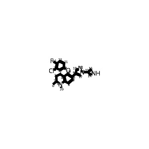 CC1CCc2c(ccc(-c3cnn(C4CNC4)c3)c2Oc2ccc(F)c(Cl)c2)N1C